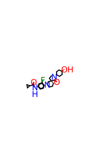 O=C(Nc1ccc(N2CCC[C@]3(CCN([C@H]4CC[C@H](O)CC4)C3=O)C2)c(F)c1)C1CC1